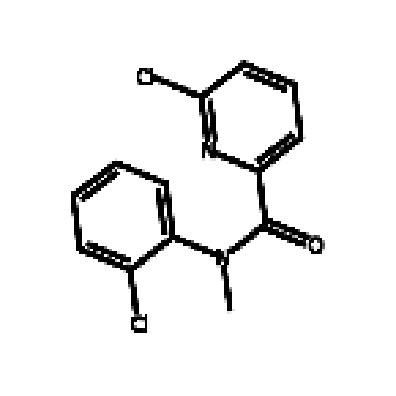 CN(C(=O)c1cccc(Cl)n1)c1ccccc1Cl